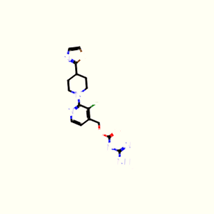 N=C(N)NC(=O)OCc1ccnc(N2CCC(c3nccs3)CC2)c1F